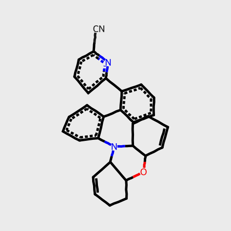 N#Cc1cccc(-c2ccccc2-c2ccccc2N2C3C=CCCC3OC3C=CCCC32)n1